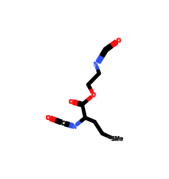 CSCCC(N=C=O)C(=O)OCCN=C=O